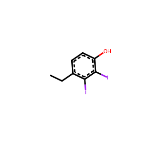 CCc1ccc(O)c(I)c1I